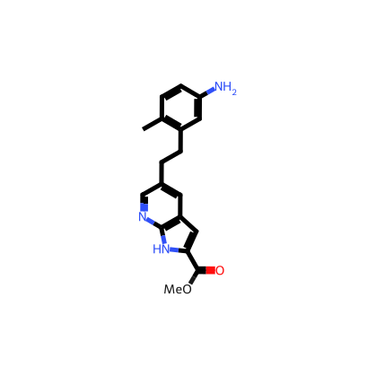 COC(=O)c1cc2cc(CCc3cc(N)ccc3C)cnc2[nH]1